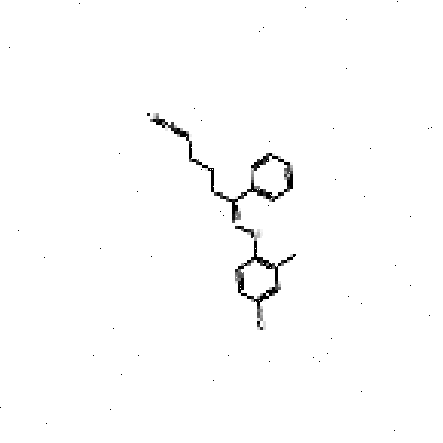 Cc1cc(Cl)ccc1NN=C(CCCN=[N+]=[N-])c1ccccc1